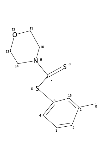 Cc1cccc(SC(=S)N2CCOCC2)c1